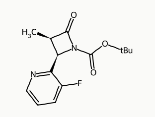 C[C@H]1C(=O)N(C(=O)OC(C)(C)C)[C@H]1c1ncccc1F